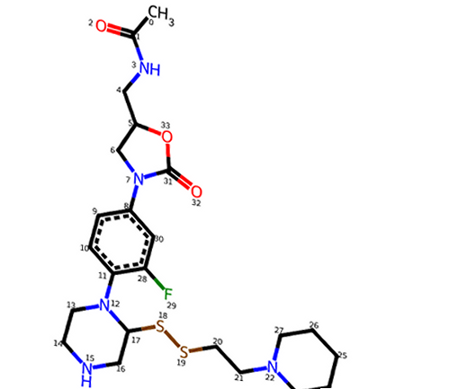 CC(=O)NCC1CN(c2ccc(N3CCNCC3SSCCN3CCCCC3)c(F)c2)C(=O)O1